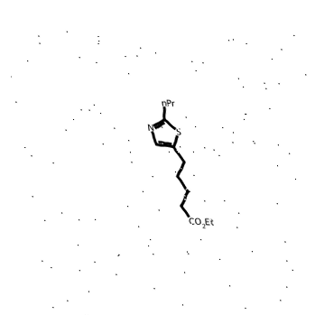 CCCc1ncc(CCCCC(=O)OCC)s1